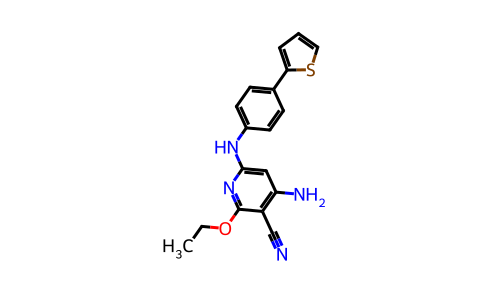 CCOc1nc(Nc2ccc(-c3cccs3)cc2)cc(N)c1C#N